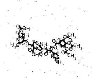 CC(=O)Oc1cc(C(=O)ON=C(C(=O)N[C@@H]2C(=O)N3C(C(=O)O)=C(CSC4=CC(C)=NC5=CN(C(=O)O)NN54)CS[C@H]23)c2csc(N)n2)cc(OC(C)=O)c1OC(C)=O